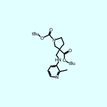 Cc1ncccc1NCC1(C(=O)OC(C)(C)C)CCN(C(=O)OC(C)(C)C)C1